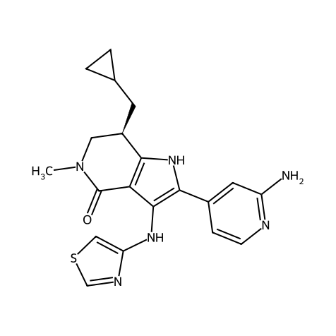 CN1C[C@@H](CC2CC2)c2[nH]c(-c3ccnc(N)c3)c(Nc3cscn3)c2C1=O